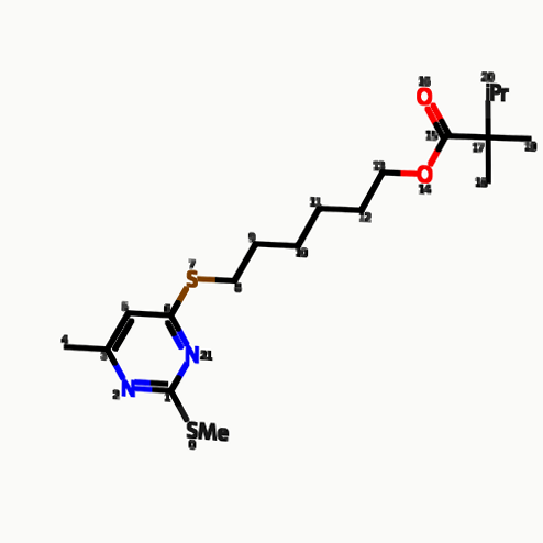 CSc1nc(C)cc(SCCCCCCOC(=O)C(C)(C)C(C)C)n1